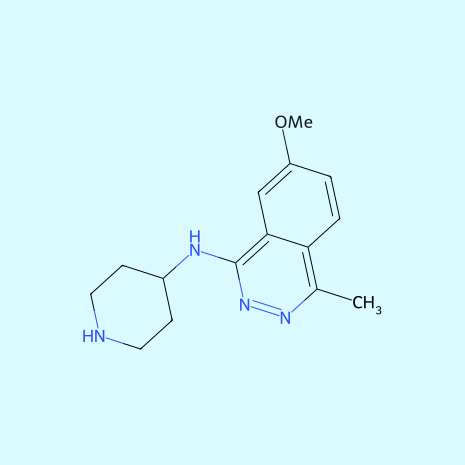 COc1ccc2c(C)nnc(NC3CCNCC3)c2c1